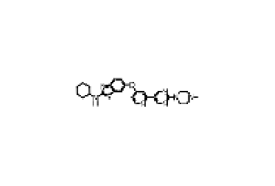 CN1CCN(c2ncc(-c3cc(Oc4ccc5nc(NC6CCCCC6)sc5c4)ccn3)cn2)CC1